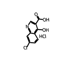 Cl.O=C(O)c1cnc2cc(Cl)ccc2c1O